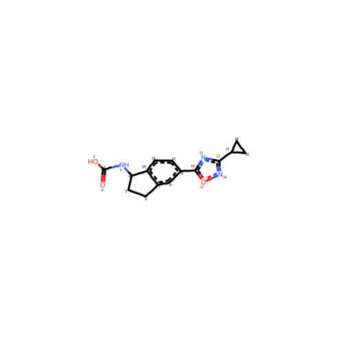 O=C(O)NC1CCc2cc(-c3nc(C4CC4)no3)ccc21